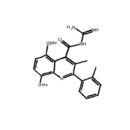 COc1ccc(OC)c2c(C(=O)NC(=N)N)c(C)c(-c3ccccc3C)nc12